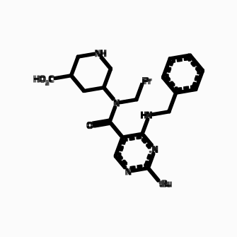 CC(C)CN(C(=O)c1cnc(C(C)(C)C)nc1NCc1ccccc1)C1CNCC(C(=O)O)C1